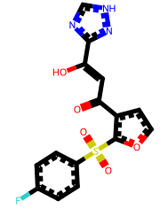 O=C(C=C(O)c1nc[nH]n1)c1ccoc1S(=O)(=O)c1ccc(F)cc1